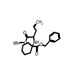 C=CCC(NC1(C(=O)OCc2ccccc2)CCCCC1)C(=O)OC(C)(C)C